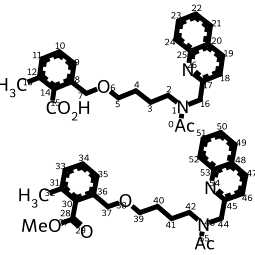 CC(=O)N(CCCCOCc1cccc(C)c1C(=O)O)Cc1ccc2ccccc2n1.COC(=O)c1c(C)cccc1COCCCCN(Cc1ccc2ccccc2n1)C(C)=O